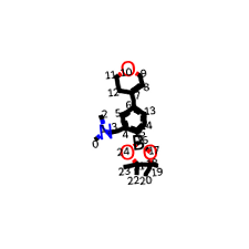 CN(C)Cc1cc(C2=CCOCC2)ccc1B1OC(C)(C)C(C)(C)O1